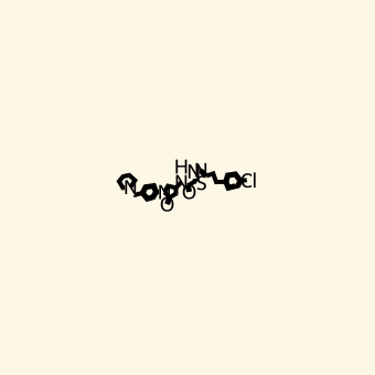 O=C(NC1CC(=O)N(c2ccc(CN3CCCCC3)cc2)C1)c1nnc(CCc2ccc(Cl)cc2)s1